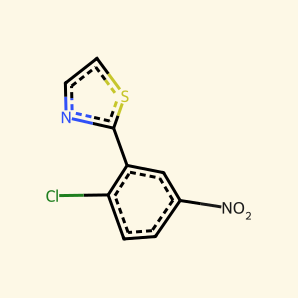 O=[N+]([O-])c1ccc(Cl)c(-c2nccs2)c1